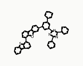 c1ccc(-c2cc(-c3ccc4c(c3)oc3c(-c5cccc6c5sc5ccccc56)cccc34)cc(-c3nc(-c4ccccc4)nc(-c4ccccc4)n3)c2)cc1